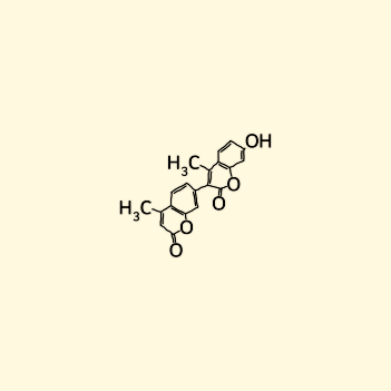 Cc1cc(=O)oc2cc(-c3c(C)c4ccc(O)cc4oc3=O)ccc12